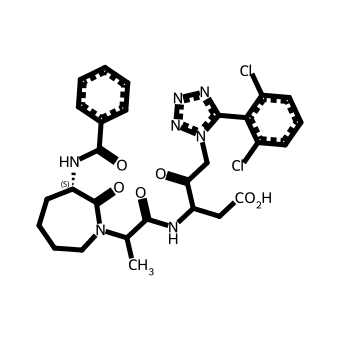 CC(C(=O)NC(CC(=O)O)C(=O)Cn1nnnc1-c1c(Cl)cccc1Cl)N1CCCC[C@H](NC(=O)c2ccccc2)C1=O